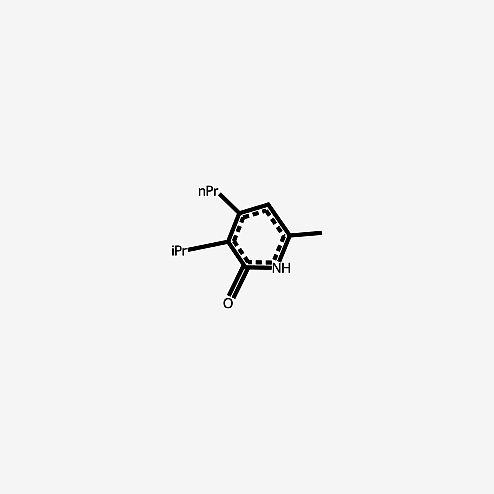 CCCc1cc(C)[nH]c(=O)c1C(C)C